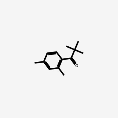 Cc1ccc(C(=O)C(C)(C)C)c(C)c1